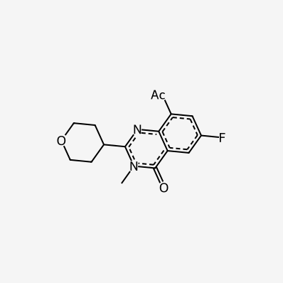 CC(=O)c1cc(F)cc2c(=O)n(C)c(C3CCOCC3)nc12